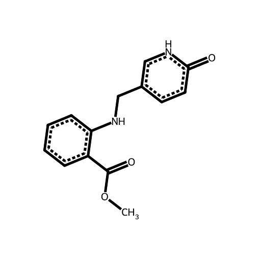 COC(=O)c1ccccc1NCc1ccc(=O)[nH]c1